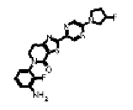 Nc1cccc(N2CCc3nc(-c4cnc(N5CCC(F)C5)cn4)sc3C2=O)c1F